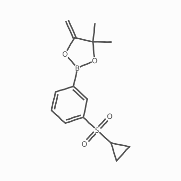 C=C1OB(c2cccc(S(=O)(=O)C3CC3)c2)OC1(C)C